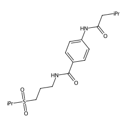 CC(C)CC(=O)Nc1ccc(C(=O)NCCCS(=O)(=O)C(C)C)cc1